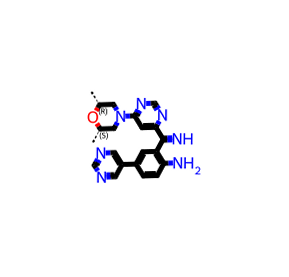 C[C@@H]1CN(c2cc(C(=N)c3cc(-c4cncnc4)ccc3N)ncn2)C[C@H](C)O1